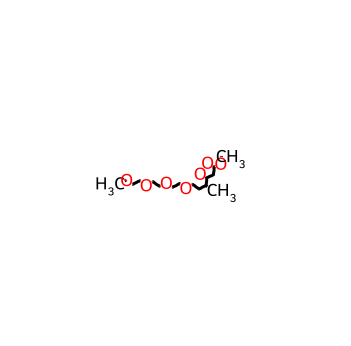 COCCOCCOCCOCCC(C)C(=O)CC(=O)OC